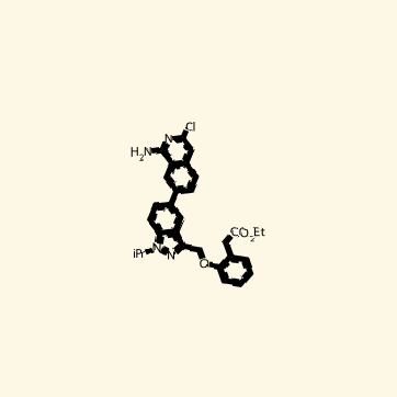 CCOC(=O)Cc1ccccc1OCc1nn(C(C)C)c2ccc(-c3ccc4cc(Cl)nc(N)c4c3)cc12